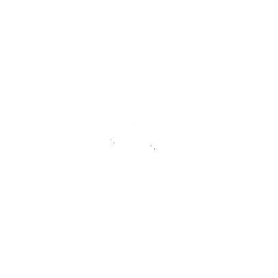 NC(=O)CN1C[CH]C1